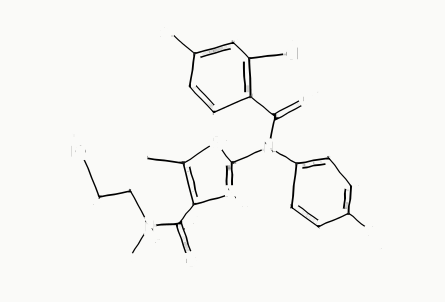 Cc1sc(N(C(=O)c2ccc(Cl)cc2Cl)c2ccc(Cl)cc2)nc1C(=O)N(C)CCO